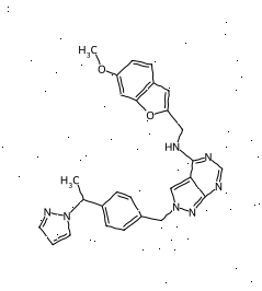 COc1ccc2cc(CNc3ncnc4nn(Cc5ccc(C(C)n6cccn6)cc5)cc34)oc2c1